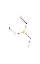 ICP(CI)CI